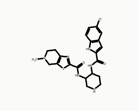 CN1CCc2nc(C(=O)NC3CNCCC3NC(=O)c3cc4cc(Cl)ccc4[nH]3)sc2C1